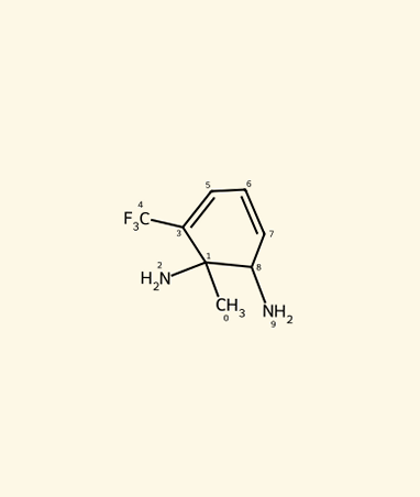 CC1(N)C(C(F)(F)F)=CC=CC1N